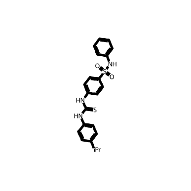 CC(C)c1ccc(NC(=S)Nc2ccc(S(=O)(=O)Nc3ccccc3)cc2)cc1